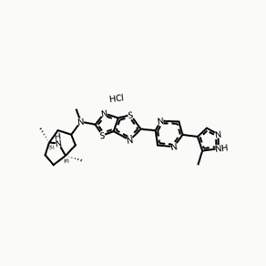 Cc1[nH]ncc1-c1cnc(-c2nc3sc(N(C)C4C[C@]5(C)CC[C@](C)(C4)N5)nc3s2)cn1.Cl